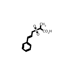 CC(C(=O)O)S(=O)(=O)CC=Cc1ccccc1